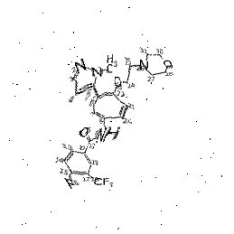 Cn1nccc1-c1cc(NC(=O)c2ccc(F)c(C(F)(F)F)c2)ccc1OCCN1CCOCC1